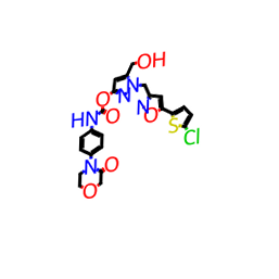 O=C(Nc1ccc(N2CCOCC2=O)cc1)Oc1cc(CO)n(Cc2cc(-c3ccc(Cl)s3)on2)n1